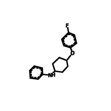 Fc1ccc(OC2CCC(Nc3ccccc3)CC2)cc1